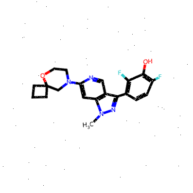 Cn1nc(-c2ccc(F)c(O)c2F)c2cnc(N3CCOC4(CCC4)C3)cc21